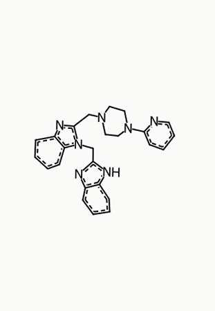 c1ccc(N2CCN(Cc3nc4ccccc4n3Cc3nc4ccccc4[nH]3)CC2)nc1